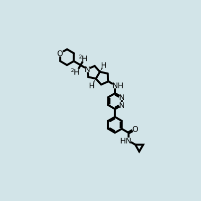 [2H]C([2H])(C1CCOCC1)N1C[C@H]2CC(Nc3ccc(-c4cccc(C(=O)NC5CC5)c4)nn3)C[C@H]2C1